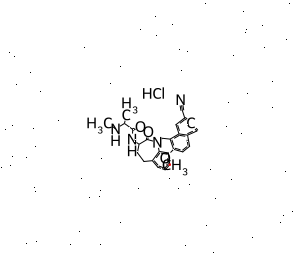 CNC(C)C(=O)NC1CCc2ccccc2N(Cc2c(OC)ccc3ccc(C#N)cc23)C1=O.Cl